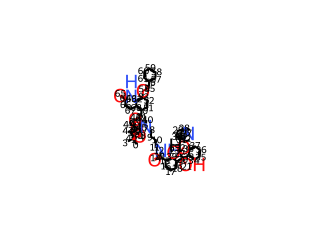 CC(C)(C)OC(=O)N(CCCCNC(=O)c1cccc(C(O)(C(=O)O[C@H]2CN3CCC2CC3)c2ccccc2)c1)C[C@H](O[Si](C)(C)C(C)(C)C)c1ccc(OCc2ccccc2)c2[nH]c(=O)ccc12